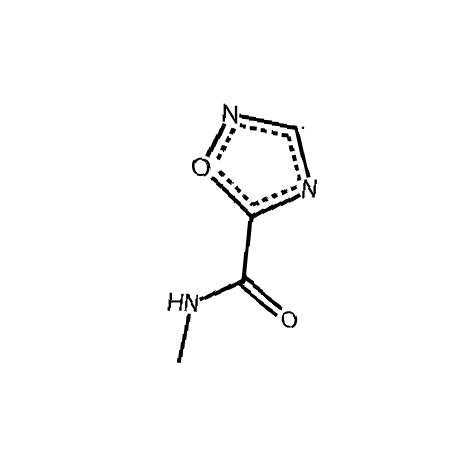 CNC(=O)c1n[c]no1